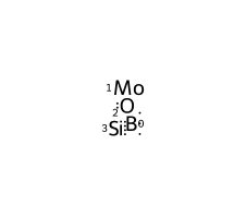 [B].[Mo].[O].[Si]